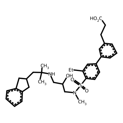 CCc1cc(-c2cccc(CCC(=O)O)c2)ccc1S(=O)(=O)N(C)CC(O)CNC(C)(C)CC1Cc2ccccc2C1